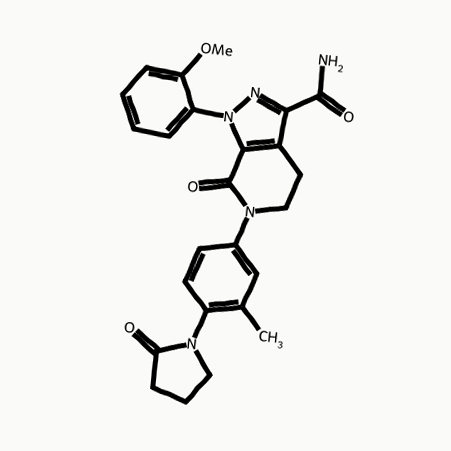 COc1ccccc1-n1nc(C(N)=O)c2c1C(=O)N(c1ccc(N3CCCC3=O)c(C)c1)CC2